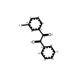 O=C(C(=O)c1cccc(I)c1)c1ccccc1